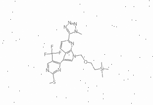 CSc1ncc(C(F)(F)F)c(-c2cn(COCC[Si](C)(C)C)c3nc(-c4nnnn4C)ccc23)n1